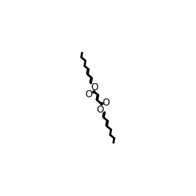 CCCC/C=C/C=C/OC(=O)/C=C/C(=O)O/C=C/C=C/CCCC